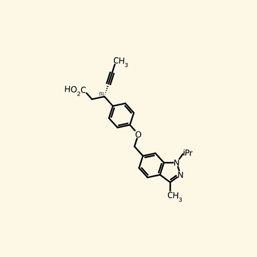 CC#C[C@@H](CC(=O)O)c1ccc(OCc2ccc3c(C)nn(C(C)C)c3c2)cc1